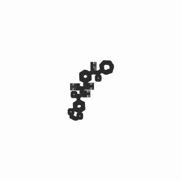 O=C(Nc1cccc(NC(S)NC(=O)c2ccc3c(c2)OCCO3)c1)C1=CC=CCC=C1